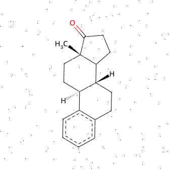 C[C@]12CC[C@@H]3c4cc[c]cc4CC[C@H]3C1CCC2=O